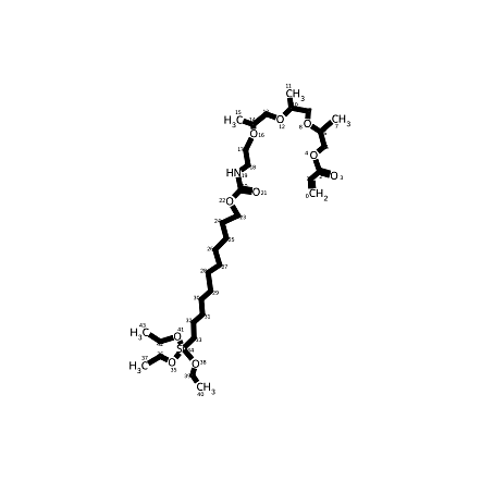 C=CC(=O)OCC(C)OCC(C)OCC(C)OCCNC(=O)OCCCCCCCCCCC[Si](OCC)(OCC)OCC